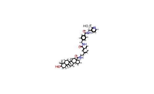 C=C/C(=C\C(=C/C)CCNC(=O)C12CCCC1C1CCC3C4(C)CCC(O)C(C)(C)C4CCC3(C)[C@]1(C)CC2)C(=O)NCc1ccc(C(=O)NCc2cccnc2C(=O)O)cc1